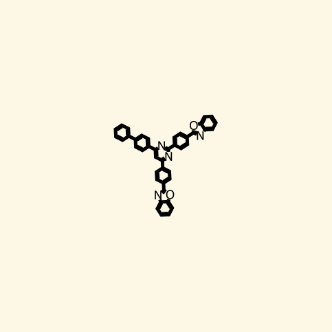 c1ccc(-c2ccc(-c3cc(-c4ccc(-c5nc6ccccc6o5)cc4)nc(-c4ccc(-c5nc6ccccc6o5)cc4)n3)cc2)cc1